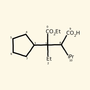 CCOC(=O)C(CC)(C1CCCC1)C(C(=O)O)C(C)C